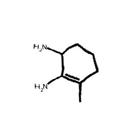 CC1=C(N)C(N)CCC1